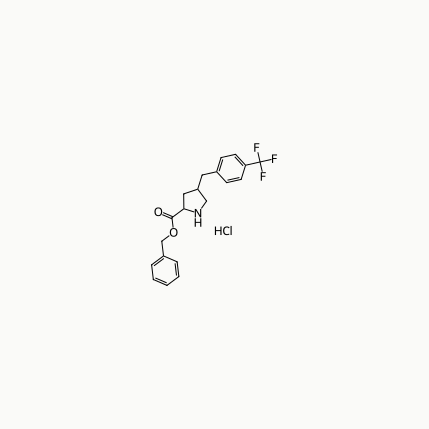 Cl.O=C(OCc1ccccc1)C1CC(Cc2ccc(C(F)(F)F)cc2)CN1